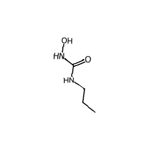 CCCNC(=O)NO